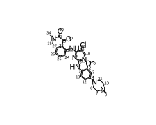 COc1cc(N2CCN(C)CC2)ccc1Nc1ncc(Cl)c(Nc2ccccc2C(=O)C(=O)N(C)C)n1